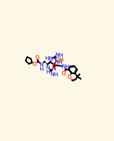 CC1(C)CCOc2c(C(=O)NC3CN4C(=N)N[C@@H](CNC(=O)OC5CCCC5)C5NC(=N)NC54[C@@H]3O)cccc21